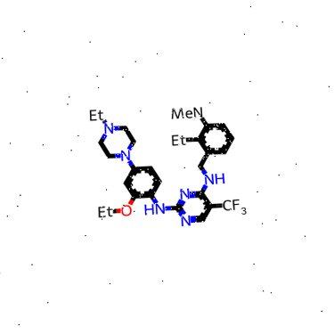 CCOc1cc(N2CCN(CC)CC2)ccc1Nc1ncc(C(F)(F)F)c(NCc2cccc(NC)c2CC)n1